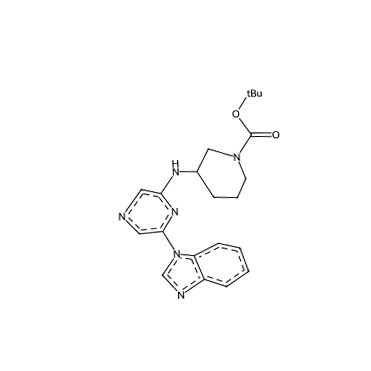 CC(C)(C)OC(=O)N1CCCC(Nc2cncc(-n3cnc4ccccc43)n2)C1